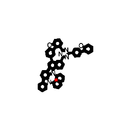 c1ccc(-c2nc(-c3ccc4c(c3)oc3ccccc34)nc(-c3cccc4oc5ccc(-c6ccc7c(c6)c6ccc8c9ccccc9n(-c9ccccc9)c8c6n7-c6ccccc6)cc5c34)n2)cc1